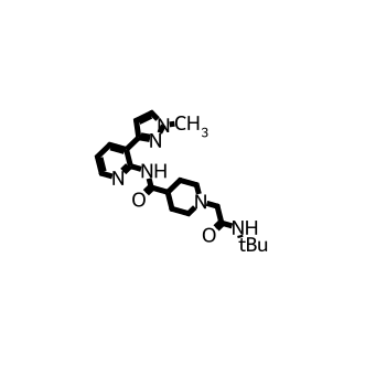 Cn1ccc(-c2cccnc2NC(=O)C2CCN(CC(=O)NC(C)(C)C)CC2)n1